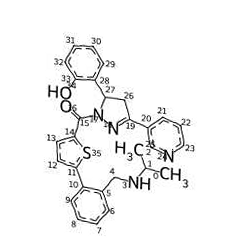 CC(C)NCc1ccccc1-c1ccc(C(=O)N2N=C(c3cccnc3)CC2c2ccccc2O)s1